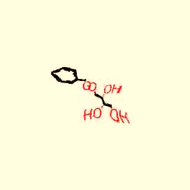 OC[C@H](O)[C@@H](O)COOCc1ccccc1